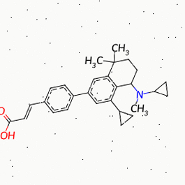 CN(C1CC1)C1CCC(C)(C)c2cc(-c3ccc(/C=C/C(=O)O)cc3)cc(C3CC3)c21